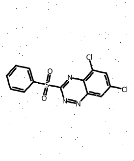 O=S(=O)(c1ccccc1)c1nnc2cc(Cl)cc(Cl)c2n1